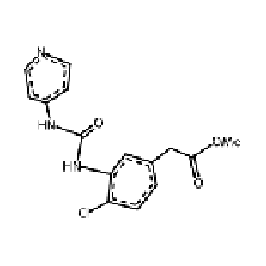 COC(=O)Cc1ccc(Cl)c(NC(=O)Nc2ccncc2)c1